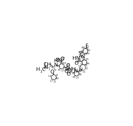 CN(C)CC[C@H](COc1ccccc1)Nc1ccc(S(=O)(=O)NC(=O)c2cccc(N3CCc4cccc(C(=O)Nc5nc6ccc(F)cc6s5)c4C3)n2)cc1[N+](=O)[O-]